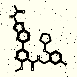 COc1ncc(-c2ccc3nc(NC(C)=O)cn3n2)cc1C(=O)NCc1cc(F)ccc1OC1CCCC1